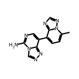 Cc1ccc(-c2cnc(N)n3cnnc23)c2ncnn12